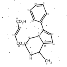 CC1NCCn2c(-c3ccccc3)ccc21.O=C(O)/C=C/C(=O)O